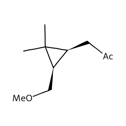 COC[C@@H]1[C@H](CC(C)=O)C1(C)C